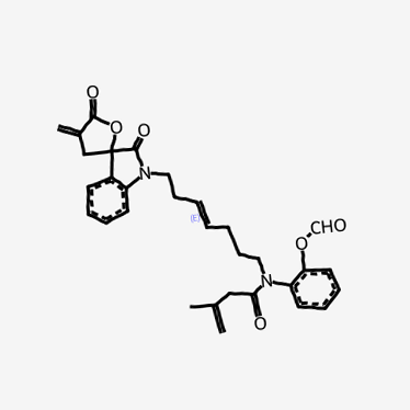 C=C(C)CC(=O)N(CCC/C=C/CCN1C(=O)C2(CC(=C)C(=O)O2)c2ccccc21)c1ccccc1OC=O